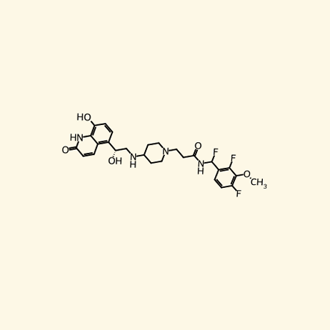 COc1c(F)ccc(C(F)NC(=O)CCN2CCC(NC[C@H](O)c3ccc(O)c4[nH]c(=O)ccc34)CC2)c1F